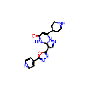 O=c1cc(C2CCNCC2)n2ncc(-c3nnc(-c4ccncc4)o3)c2[nH]1